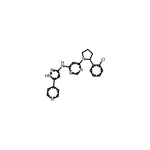 Clc1ccccc1C1CCCN1c1cc(Nc2cc(-c3ccncc3)[nH]n2)ncn1